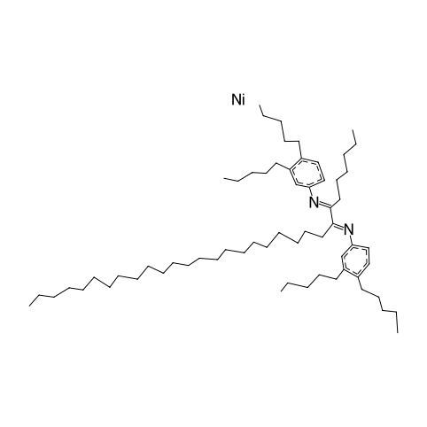 CCCCCCCCCCCCCCCCCCCCCCCC(=Nc1ccc(CCCCC)c(CCCCC)c1)C(CCCCCC)=Nc1ccc(CCCCC)c(CCCCC)c1.[Ni]